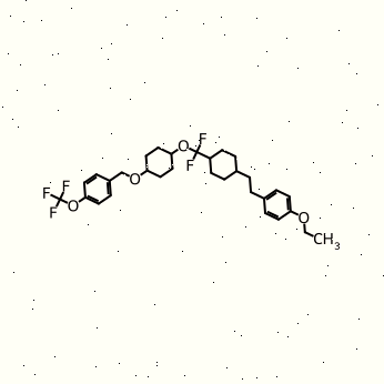 CCOc1ccc(CCC2CCC(C(F)(F)OC3CCC(OCc4ccc(OC(F)(F)F)cc4)CC3)CC2)cc1